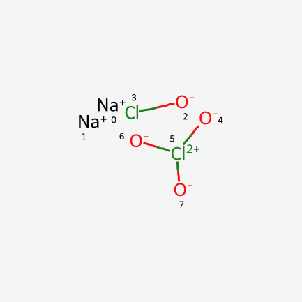 [Na+].[Na+].[O-]Cl.[O-][Cl+2]([O-])[O-]